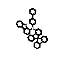 C1=CC2=C(CC1)c1ccccc1C21c2ccccc2-c2c(N(c3ccc(-c4ccccc4)cc3)c3cccc4c3sc3ccccc34)cccc21